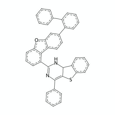 c1ccc(C2=C3Sc4ccccc4C3NC(c3cccc4oc5cc(-c6ccccc6-c6ccccc6)ccc5c34)=N2)cc1